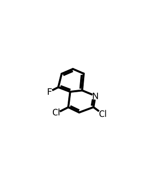 Fc1cccc2nc(Cl)cc(Cl)c12